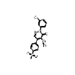 CC(C)Oc1c(-c2ccc(S(C)(=O)=O)cc2)cnn(-c2cccc(Cl)c2)c1=O